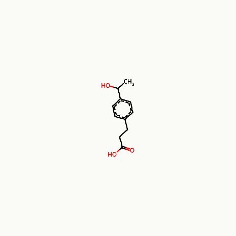 CC(O)c1ccc(CCC(=O)O)cc1